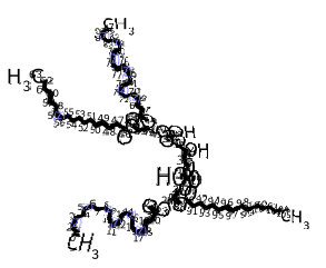 CC/C=C\C/C=C\C/C=C\C/C=C\C/C=C\C/C=C\CCC(=O)OC[C@H](COP(=O)(O)OC[C@@H](O)COP(=O)(O)OC[C@@H](COC(=O)CCCCCCCCC/C=C\CCCCCC)OC(=O)CC/C=C\C/C=C\C/C=C\C/C=C\C/C=C\C/C=C\CC)OC(=O)CCCCCCCCCCCCCCC